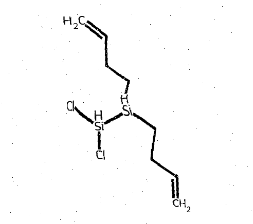 C=CCC[SiH](CCC=C)[SiH](Cl)Cl